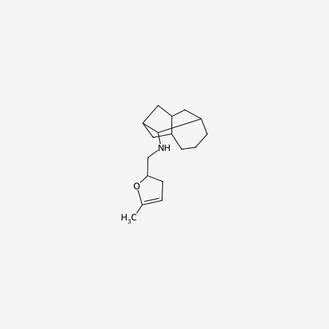 CC1=CCC(CNC2C3CCCC4CC2CC4C3)O1